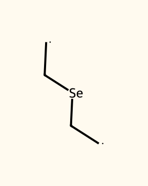 [CH2]C[Se]C[CH2]